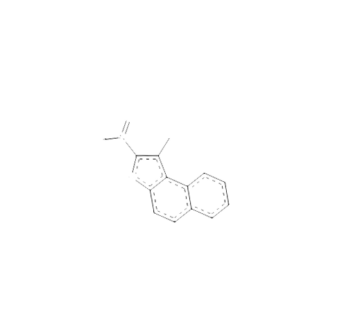 Cc1c([N+](=O)[O-])oc2ccc3ccccc3c12